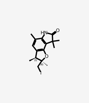 Cc1cc2c(c3c1NC(=O)C3(C)C)O[C@@](C)(CI)[C@H]2C